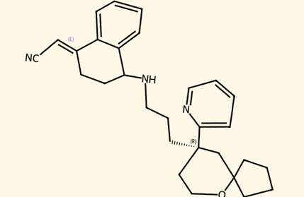 N#C/C=C1\CCC(NCCC[C@@]2(c3ccccn3)CCOC3(CCCC3)C2)c2ccccc21